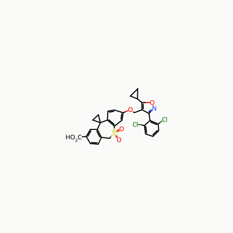 O=C(O)c1ccc2c(c1)C1(CC1)c1ccc(OCc3c(-c4c(Cl)cccc4Cl)noc3C3CC3)cc1S(=O)(=O)C2